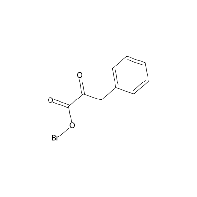 O=C(Cc1ccccc1)C(=O)OBr